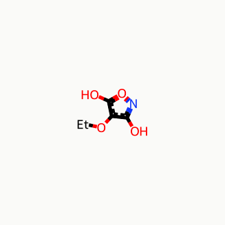 CCOc1c(O)noc1O